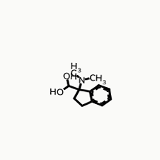 CN(C)C1(C(O)O)CCc2ccccc21